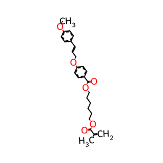 C=C(C)C(=O)OCCCCCCOC(=O)c1ccc(OCC=Cc2ccc(OC)cc2)cc1